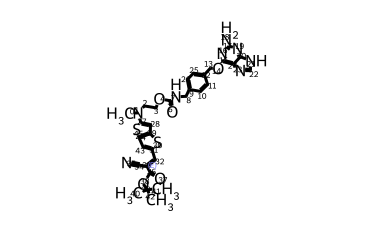 CN(CCOC(=O)NCc1ccc(COc2nc(N)nc3[nH]cnc23)cc1)c1cc2sc(/C=C(\C#N)C(=O)OC(C)(C)C)cc2s1